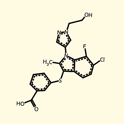 Cc1c(Sc2cccc(C(=O)O)c2)c2ccc(Cl)c(F)c2n1-c1cnn(CCO)c1